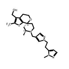 C[C@H]1C[C@@]2(CCN1Cc1cnn(CCc3ccnn3C)c1)OCCc1c2sc(C(F)(F)F)c1CO